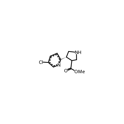 COC(=O)C1CNC[C@H]1c1ccc(Cl)cn1